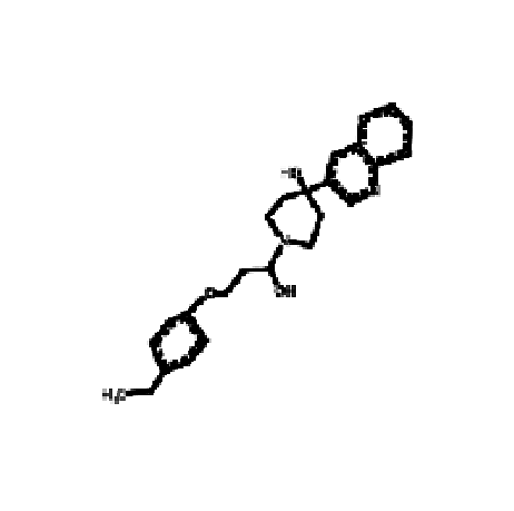 CCc1ccc(OCCC(O)N2CCC(O)(c3cnc4ccccc4c3)CC2)cc1